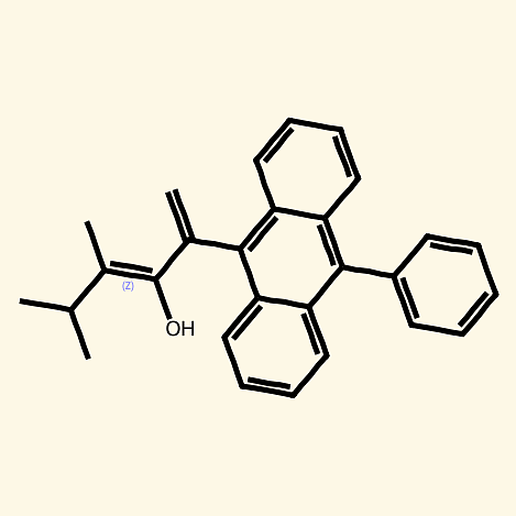 C=C(/C(O)=C(\C)C(C)C)c1c2ccccc2c(-c2ccccc2)c2ccccc12